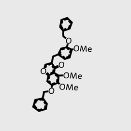 COc1ccc(Cc2coc3cc(OCc4ccccc4)c(OC)c(OC)c3c2=O)cc1OCc1ccccc1